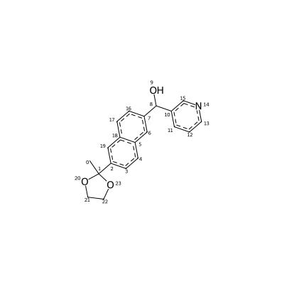 CC1(c2ccc3cc(C(O)c4cccnc4)ccc3c2)OCCO1